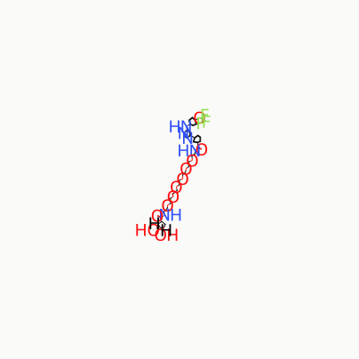 O=C(NCCOCCOCCOCCOCCOCCOCCNC(=O)[C@H]1C[C@@H]2C[C@H]1[C@@H](O)[C@H]2O)c1cccc(-c2cc(Nc3ccc(OC(F)(F)F)cc3)ncn2)c1